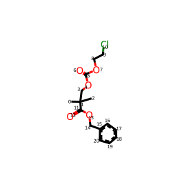 CC(C)(COC(=O)OCCCl)C(=O)OCc1ccccc1